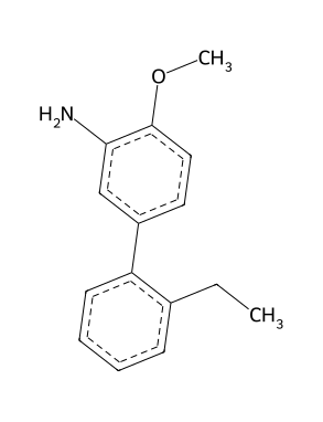 CCc1ccccc1-c1ccc(OC)c(N)c1